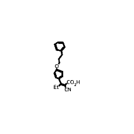 CCC(=C(C#N)C(=O)O)c1ccc(OCCCc2ccccc2)cc1